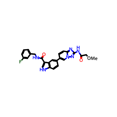 COCC(=O)Nc1nc2ccc(-c3ccc4[nH]cc(C(=O)NCc5cccc(F)c5)c4c3)cn2n1